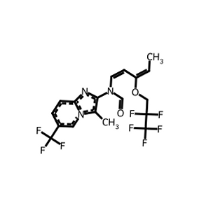 C/C=C(\C=C/N(C=O)c1nc2ccc(C(F)(F)F)cn2c1C)OCC(F)(F)C(F)(F)F